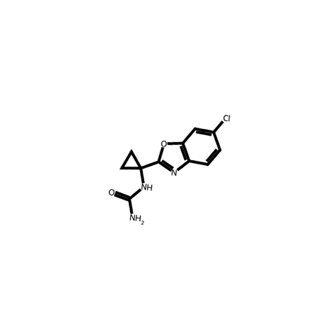 NC(=O)NC1(c2nc3ccc(Cl)cc3o2)CC1